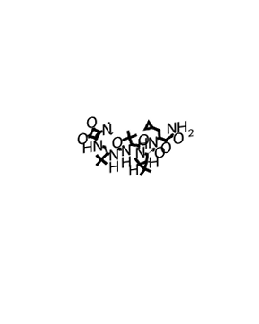 CN(C)c1c(NC[C@@H](NC(=O)N[C@H](C(=O)N2C[C@H]3[C@@H]([C@H]2C(=O)NC(CC2CC2)C(=O)C(N)=O)C3(C)C)C(C)(C)C)C(C)(C)C)c(=O)c1=O